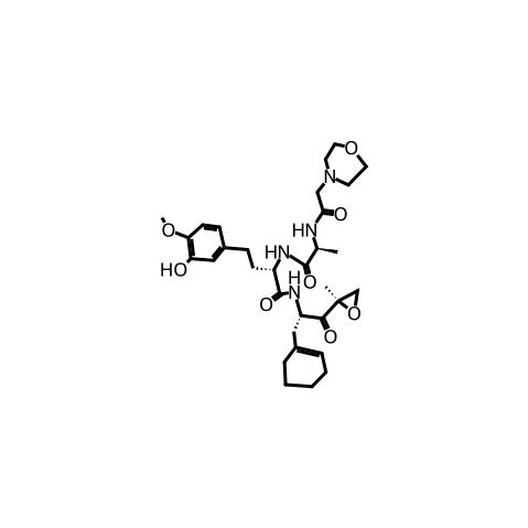 COc1ccc(CC[C@H](NC(=O)[C@H](C)NC(=O)CN2CCOCC2)C(=O)N[C@@H](CC2=CCCCC2)C(=O)[C@@]2(C)CO2)cc1O